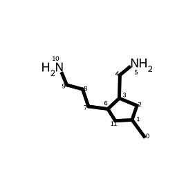 CC1CC(CN)C(CCCN)C1